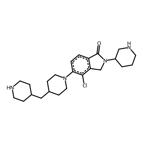 O=C1c2ccc(N3CCC(CC4CCNCC4)CC3)c(Cl)c2CN1C1CCCNC1